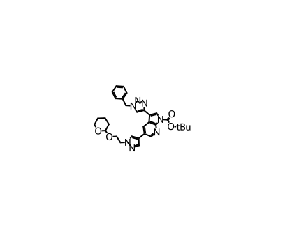 CC(C)(C)OC(=O)n1cc(-c2cn(Cc3ccccc3)nn2)c2cc(-c3cnn(CCOC4CCCCO4)c3)cnc21